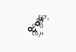 CC(C)=C(C(=O)O)c1ccccc1COc1cc(Cl)c(OC(F)(F)C(F)C(F)(F)F)c(Cl)c1